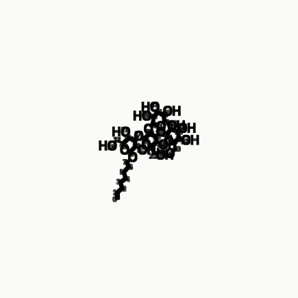 C=CCCCCCCO[C@@H]1O[C@H](CO)[C@H](O)[C@H](O[C@@H]2O[C@H](CO)[C@H](O)[C@H](O[C@H]3O[C@H](CO)[C@H](O)[C@H](O)[C@H]3O)[C@H]2O[C@@H]2O[C@@H](C)[C@@H](O)[C@@H](O)[C@@H]2O)[C@H]1O